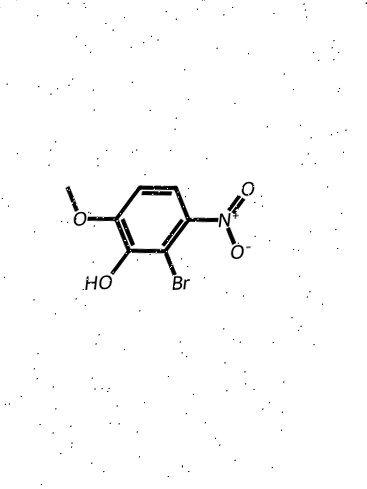 COc1ccc([N+](=O)[O-])c(Br)c1O